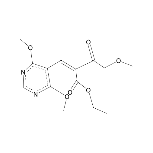 CCOC(=O)C(=Cc1c(OC)ncnc1OC)C(=O)COC